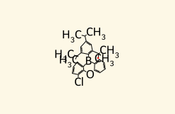 CC(C)c1cc(C(C)C)c(B2c3ccccc3Oc3c(Cl)cccc32)c(C(C)C)c1